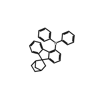 c1ccc(N(c2ccccc2)c2cccc3c2-c2ccccc2C32CC3CCC2C3)cc1